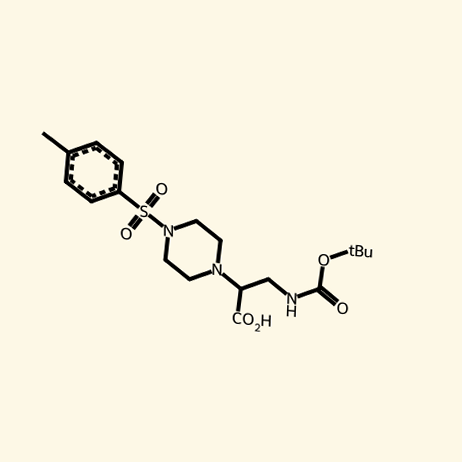 Cc1ccc(S(=O)(=O)N2CCN(C(CNC(=O)OC(C)(C)C)C(=O)O)CC2)cc1